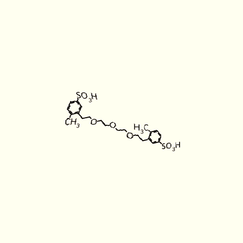 Cc1ccc(S(=O)(=O)O)cc1CCOCCOCCOCCc1cc(S(=O)(=O)O)ccc1C